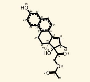 CC(=O)OCC(=O)[C@@]1(O)[C@H](C)C=C2c3ccc4cc(O)ccc4c3CC[C@@]21C